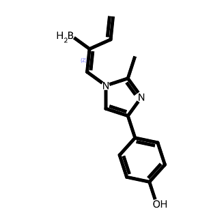 B/C(C=C)=C/n1cc(-c2ccc(O)cc2)nc1C